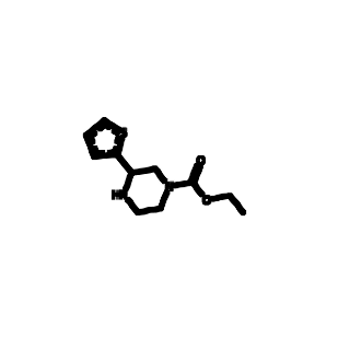 CCOC(=O)N1CCNC(c2cccs2)C1